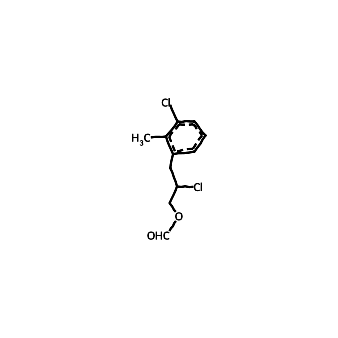 Cc1c(Cl)cccc1CC(Cl)COC=O